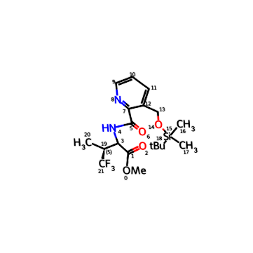 COC(=O)C(NC(=O)c1ncccc1CO[Si](C)(C)C(C)(C)C)[C@H](C)C(F)(F)F